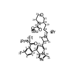 CCN(C(=O)c1cc(F)ccc1-c1cc(C2CN([C@H](CC[C@@H]3COCCN3C(=O)OC(C)(C)C)C(C)C)C2)cn2c(C)ncc12)C(C)C